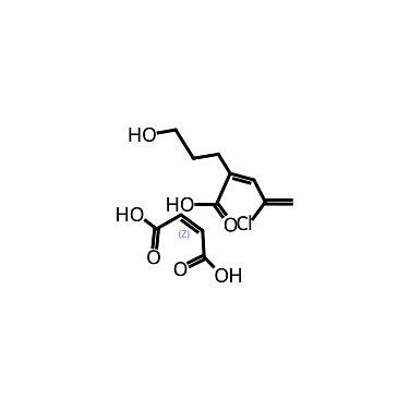 C=C(Cl)C=C(CCCO)C(=O)O.O=C(O)/C=C\C(=O)O